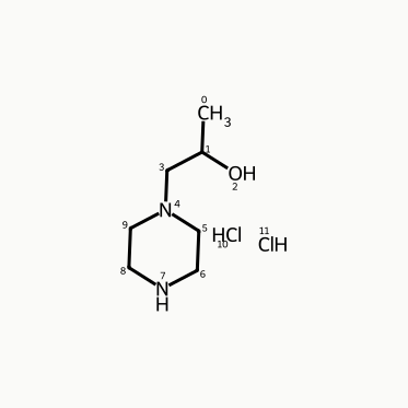 CC(O)CN1CCNCC1.Cl.Cl